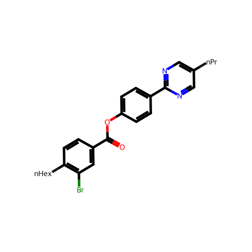 CCCCCCc1ccc(C(=O)Oc2ccc(-c3ncc(CCC)cn3)cc2)cc1Br